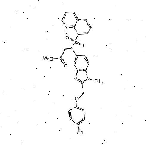 COC(=O)CN(c1ccc2c(c1)nc(COc1ccc(C#N)cc1)n2C)S(=O)(=O)c1cccc2cccnc12